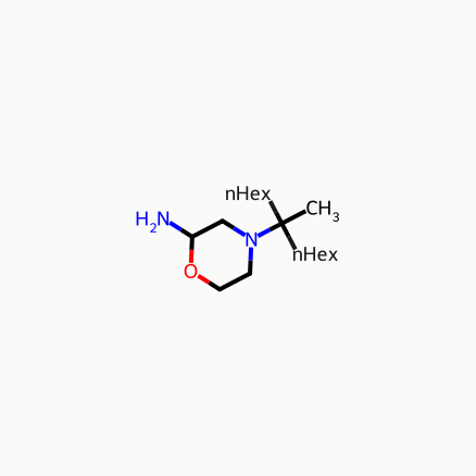 CCCCCCC(C)(CCCCCC)N1CCOC(N)C1